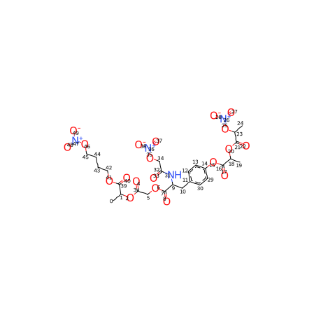 CC(OC(=O)COC(=O)C(Cc1ccc(OC(=O)C(C)OC(=O)C(C)O[N+](=O)[O-])cc1)NC(=O)CO[N+](=O)[O-])C(=O)OCCCCO[N+](=O)[O-]